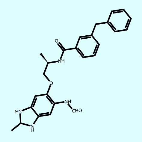 CC1Nc2cc(NC=O)c(OC[C@@H](C)NC(=O)c3cccc(Cc4ccccc4)c3)cc2N1